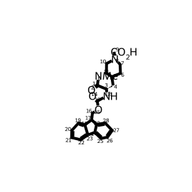 CNC(=O)[C@H](CC1CCN(C(=O)O)CC1)NC(=O)OCC1c2ccccc2-c2ccccc21